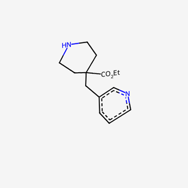 CCOC(=O)C1(Cc2cccnc2)CCNCC1